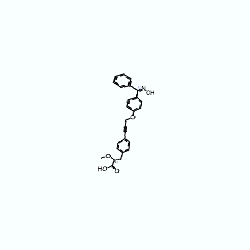 CO[C@@H](Cc1ccc(C#CCOc2ccc(/C(=N\O)c3ccccc3)cc2)cc1)C(=O)O